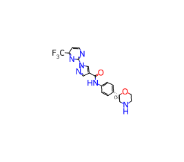 O=C(Nc1ccc([C@H]2CNCCO2)cc1)c1cnn(-c2nccc(C(F)(F)F)n2)c1